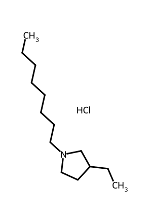 CCCCCCCCN1CCC(CC)C1.Cl